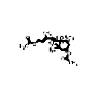 CC(=O)OCC=C(C)C#C[C@]1(O)[C@H](C)C[C@@H](OC(C)=O)CC1(C)C